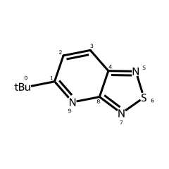 CC(C)(C)c1ccc2nsnc2n1